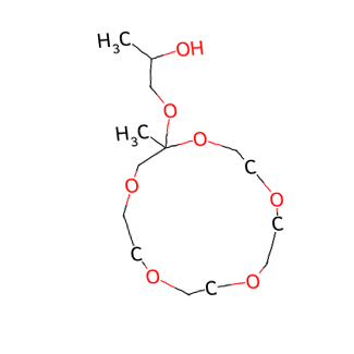 CC(O)COC1(C)COCCOCCOCCOCCO1